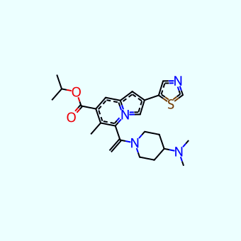 C=C(c1c(C)c(C(=O)OC(C)C)cc2cc(-c3cncs3)cn12)N1CCC(N(C)C)CC1